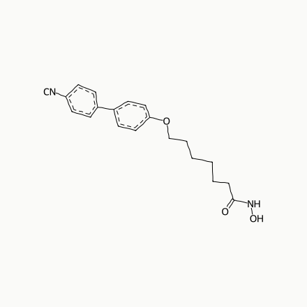 [C-]#[N+]c1ccc(-c2ccc(OCCCCCCC(=O)NO)cc2)cc1